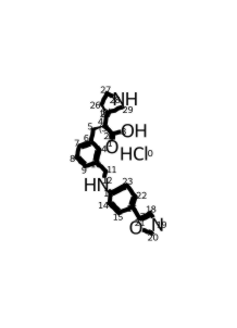 Cl.O=C(O)[C@@H](Cc1cccc(CNc2ccc(-c3cnco3)cc2)c1)[C@H]1CCNC1